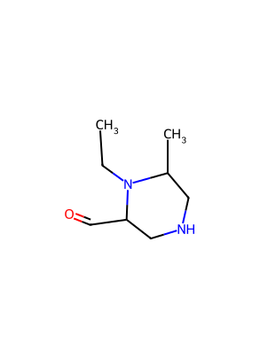 CCN1C(C)CNCC1C=O